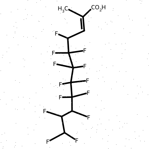 CC(=CC(F)C(F)(F)C(F)(F)C(F)(F)C(F)(F)C(F)C(F)C(F)F)C(=O)O